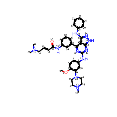 COc1ccc(Nc2nc(-c3cccc(NC(=O)/C=C/CN(C)C)c3)c3c(Nc4ccccc4)n[nH]c3n2)cc1N1CCN(C)CC1